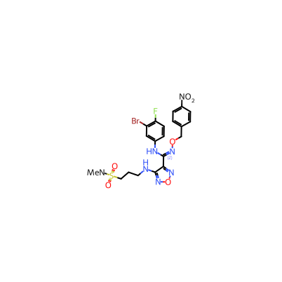 CNS(=O)(=O)CCCNc1nonc1/C(=N/OCc1ccc([N+](=O)[O-])cc1)Nc1ccc(F)c(Br)c1